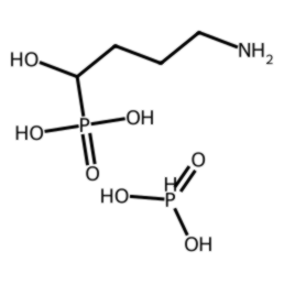 NCCCC(O)P(=O)(O)O.O=[PH](O)O